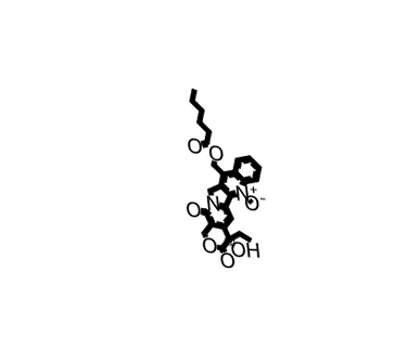 CCCCCC(=O)OCc1c2c([n+]([O-])c3ccccc13)-c1cc3c(c(=O)n1C2)COC(=O)[C@]3(O)CC